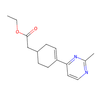 CCOC(=O)CC1CC=C(c2ccnc(C)n2)CC1